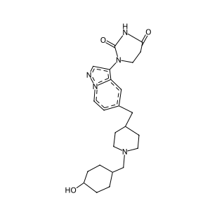 O=C1CCN(c2cnn3ccc(CC4CCN(CC5CCC(O)CC5)CC4)cc23)C(=O)N1